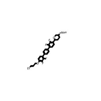 CC/C=C/COc1ccc(-c2ccc(-c3ccc(C4CCC(CCCCCCCCC)CO4)c(F)c3F)cc2)c(F)c1F